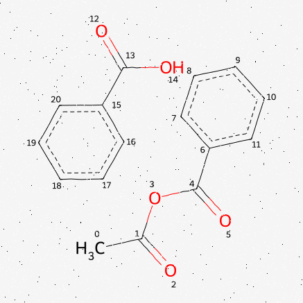 CC(=O)OC(=O)c1ccccc1.O=C(O)c1ccccc1